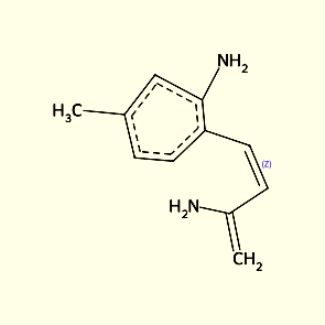 C=C(N)/C=C\c1ccc(C)cc1N